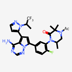 CC(=O)N1CC(C)N(c2cc(-c3cc(-c4ccnn4C(C)C(F)(F)F)c4c(N)ncnn34)ccc2F)C(=O)C1(C)C